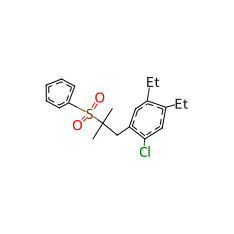 CCc1cc(Cl)c(CC(C)(C)S(=O)(=O)c2ccccc2)cc1CC